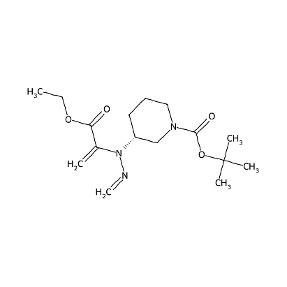 C=NN(C(=C)C(=O)OCC)[C@@H]1CCCN(C(=O)OC(C)(C)C)C1